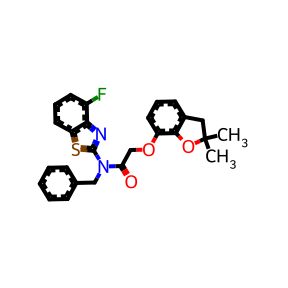 CC1(C)Cc2cccc(OCC(=O)N(Cc3ccccc3)c3nc4c(F)cccc4s3)c2O1